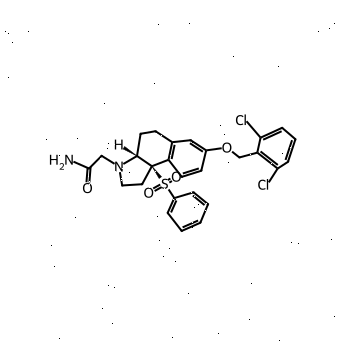 NC(=O)CN1CC[C@@]2(S(=O)(=O)c3ccccc3)c3ccc(OCc4c(Cl)cccc4Cl)cc3CC[C@@H]12